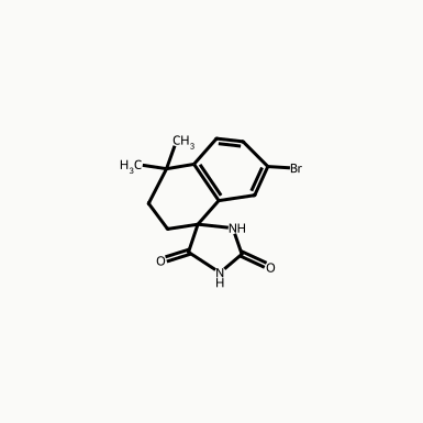 CC1(C)CCC2(NC(=O)NC2=O)c2cc(Br)ccc21